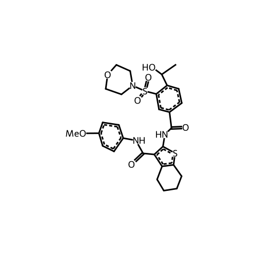 COc1ccc(NC(=O)c2c(NC(=O)c3ccc(C(C)O)c(S(=O)(=O)N4CCOCC4)c3)sc3c2CCCC3)cc1